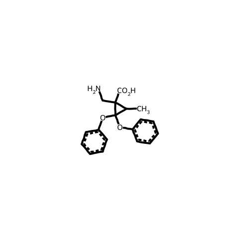 CC1C(Oc2ccccc2)(Oc2ccccc2)C1(CN)C(=O)O